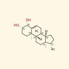 CC(=O)[C@H]1CC[C@H]2[C@@H]3CC=C4[C@@H](O)[C@@H](O)CC[C@]4(C)[C@H]3CC[C@]12C